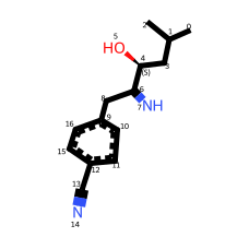 CC(C)C[C@H](O)C(=N)Cc1ccc(C#N)cc1